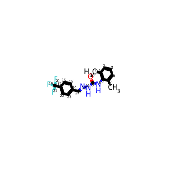 Cc1cccc(C)c1NC(=O)N/N=C/c1ccc(C(F)(F)F)cc1